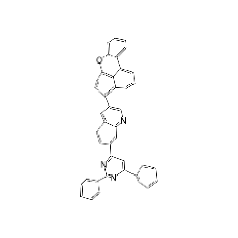 c1ccc(-c2cc(-c3ccc4cc(-c5ccc6c7c(cccc57)-c5ccccc5O6)cnc4c3)nc(-c3ccccc3)n2)cc1